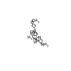 CNc1nc2cc(N)ccc2nc1-c1ccc(OCc2ccc(OC)cc2)c(OC)c1